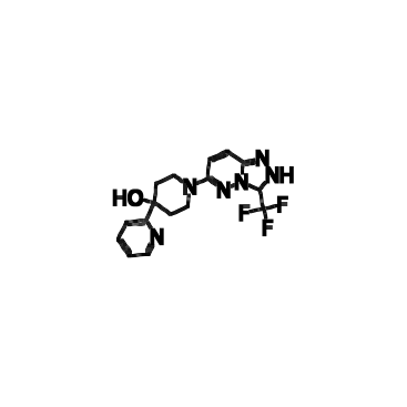 OC1(c2ccccn2)CCN(C2=NN3C(=NNC3C(F)(F)F)C=C2)CC1